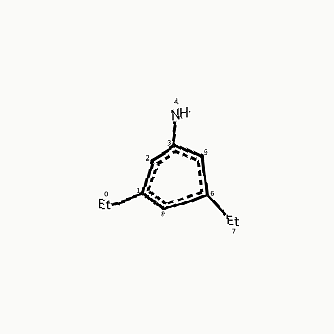 CCc1cc([NH])cc(CC)c1